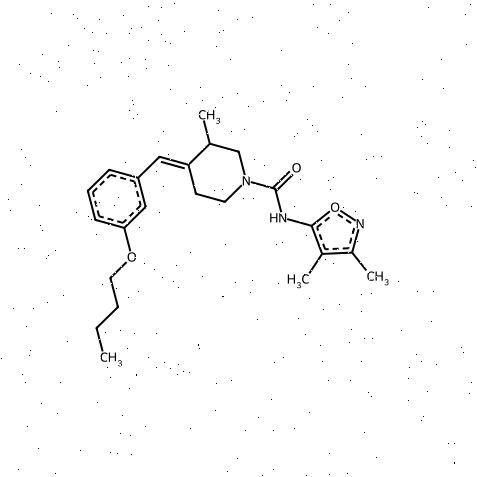 CCCCOc1cccc(C=C2CCN(C(=O)Nc3onc(C)c3C)CC2C)c1